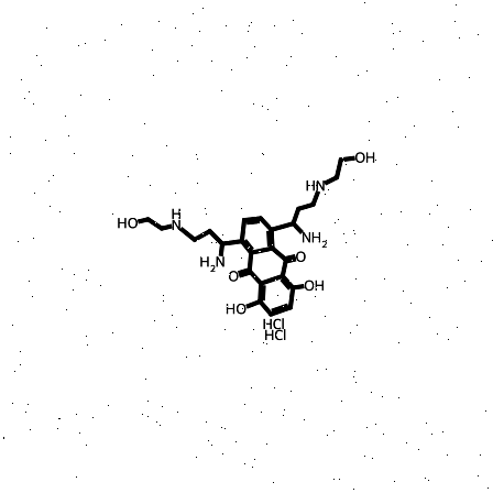 Cl.Cl.NC(CCNCCO)c1ccc(C(N)CCNCCO)c2c1C(=O)c1c(O)ccc(O)c1C2=O